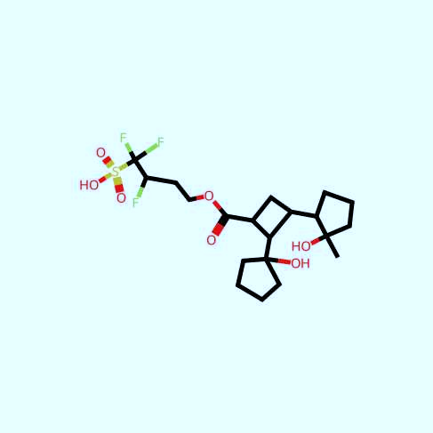 CC1(O)CCCC1C1CC(C(=O)OCCC(F)C(F)(F)S(=O)(=O)O)C1C1(O)CCCC1